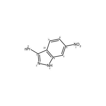 CCCc1n[nH]c2cc([N+](=O)[O-])ccc12